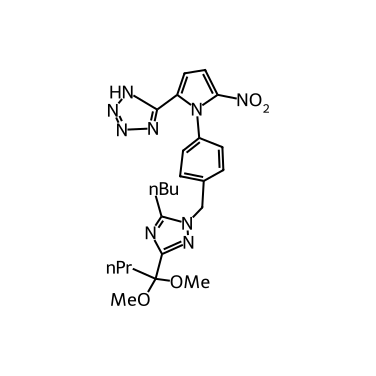 CCCCc1nc(C(CCC)(OC)OC)nn1Cc1ccc(-n2c(-c3nnn[nH]3)ccc2[N+](=O)[O-])cc1